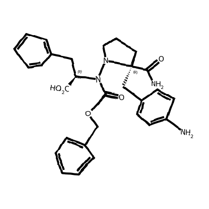 NC(=O)[C@]1(Cc2ccc(N)cc2)CCCN1N(C(=O)OCc1ccccc1)[C@H](Cc1ccccc1)C(=O)O